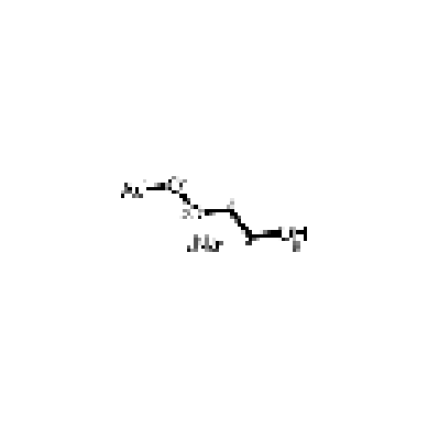 CC(=O)OOCCO.[Na]